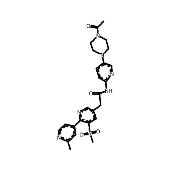 CC(=O)N1CCN(c2ccc(NC(=O)Cc3cnc(-c4ccnc(C)c4)c(S(C)(=O)=O)c3)nc2)CC1